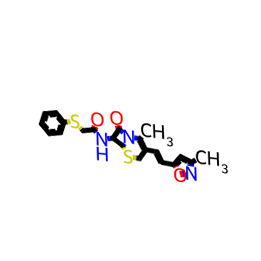 CC1=C(/C=C/c2cc(C)no2)CSC2C(NC(=O)CSc3ccccc3)C(=O)N12